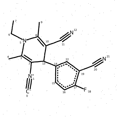 [C-]#[N+]C1=C(C)N(CC)C(C)=C(C#N)C1c1ccc(F)c(C#N)c1